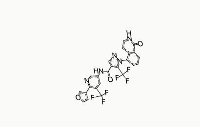 O=C(Nc1cnc(-c2ccoc2)c(C(F)(F)F)c1)c1cnn(-c2cccc3c(=O)[nH]ccc23)c1C(F)(F)F